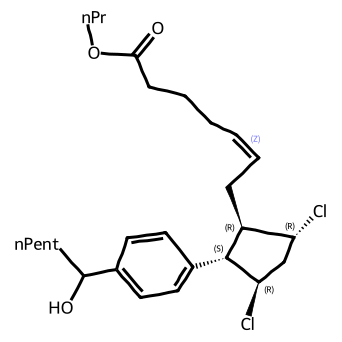 CCCCCC(O)c1ccc([C@@H]2[C@@H](C/C=C\CCCC(=O)OCCC)[C@H](Cl)C[C@H]2Cl)cc1